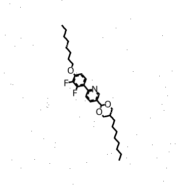 CCCCCCCCOc1ccc(-c2ccc(C3OCC(CCCCCCCC)CO3)cn2)c(F)c1F